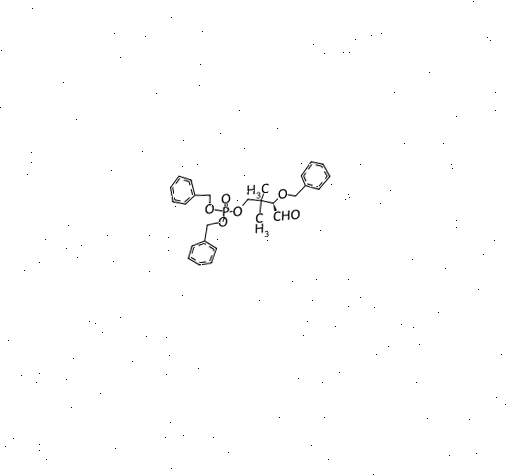 CC(C)(COP(=O)(OCc1ccccc1)OCc1ccccc1)[C@H](C=O)OCc1ccccc1